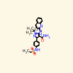 CCS(=O)(=O)Nc1ccc(-c2nn(C(C)(C)C)c(Nc3ccc4ccccc4n3)c2C(N)=O)cc1